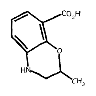 CC1CNc2cccc(C(=O)O)c2O1